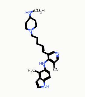 Cc1c(Nc2c(C#N)cncc2/C=C/CCCN2CCC(NC(=O)O)CC2)ccc2[nH]ccc12